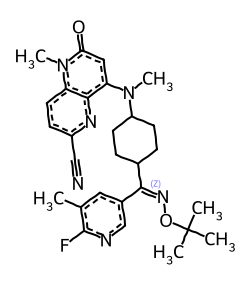 Cc1cc(/C(=N\OC(C)(C)C)C2CCC(N(C)c3cc(=O)n(C)c4ccc(C#N)nc34)CC2)cnc1F